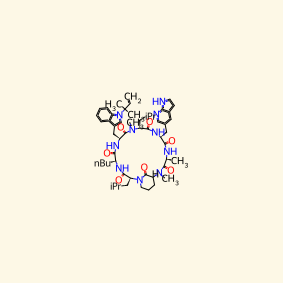 C=CC(C)(C)n1cc(C[C@@H]2NC(=O)[C@H](CCCC)NC(=O)[C@H](CC(C)C)N3CCC[C@@H](C3=O)N(C)C(=O)[C@H](C)NC(=O)[C@H](Cc3cnc4[nH]ccc4c3)NC(=O)[C@H](CC(C)C)N(C)C2=O)c2ccccc21